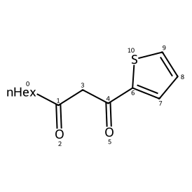 CCCCCCC(=O)CC(=O)c1cccs1